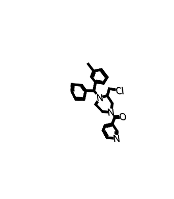 Cc1cccc(C(c2ccccc2)N2CCN(C(=O)c3cccnc3)CC2CCl)c1